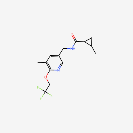 Cc1cc(CNC(=O)C2CC2C)cnc1OCC(F)(F)F